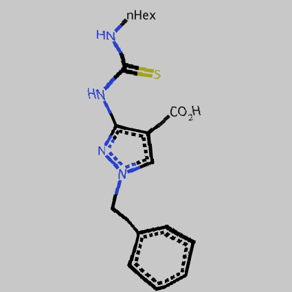 CCCCCCNC(=S)Nc1nn(Cc2ccccc2)cc1C(=O)O